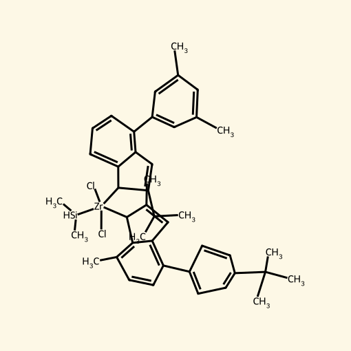 CC1=Cc2c(-c3ccc(C(C)(C)C)cc3)ccc(C)c2[CH]1[Zr]([Cl])([Cl])([CH]1C(C(C)C)=Cc2c(-c3cc(C)cc(C)c3)cccc21)[SiH](C)C